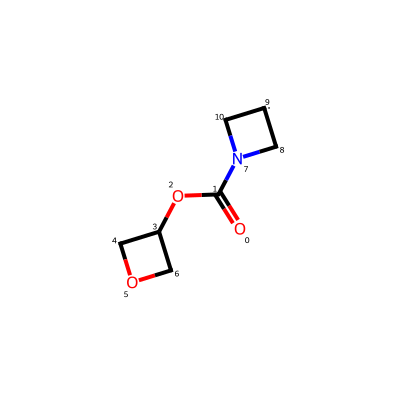 O=C(OC1COC1)N1C[CH]C1